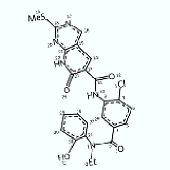 CCN(C(=O)c1ccc(Cl)c(NC(=O)c2cc3cnc(SC)nc3[nH]c2=O)c1)c1ccccc1O